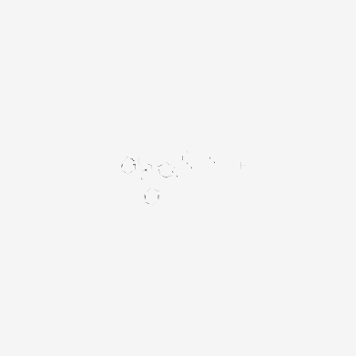 Cc1cc(C(=O)NCCNC(=O)O)ncc1C(c1cc(F)ccc1F)S(=O)(=O)c1ccc(F)cc1